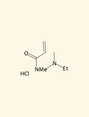 C=CC(=O)NC.CCN(C)C.Cl